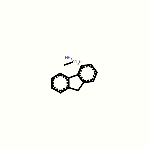 CC(=O)O.N.c1ccc2c(c1)Cc1ccccc1-2